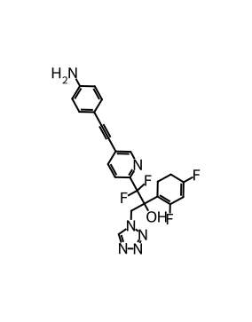 Nc1ccc(C#Cc2ccc(C(F)(F)C(O)(Cn3cnnn3)C3=C(F)C=C(F)CC3)nc2)cc1